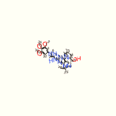 COc1cc(-n2cnc(Nc3nc(N4CCCC4CO)c4cnn(C(C)C)c4n3)c2)cc(OC)c1OC